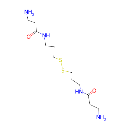 NCCC(=O)NCCCSSCCCNC(=O)CCN